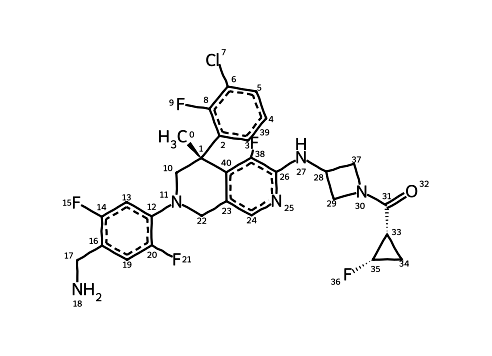 C[C@]1(c2cccc(Cl)c2F)CN(c2cc(F)c(CN)cc2F)Cc2cnc(NC3CN(C(=O)[C@@H]4C[C@@H]4F)C3)c(F)c21